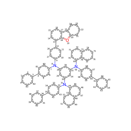 c1ccc(-c2ccc(N(c3ccc(-c4cccc5c4oc4ccccc45)cc3)c3cc(N(c4ccc(-c5ccccc5)cc4)c4cccc5ccccc45)cc(N(c4ccc(-c5ccccc5)cc4)c4cccc5ccccc45)c3)cc2)cc1